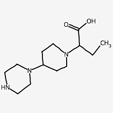 CCC(C(=O)O)N1CCC(N2CCNCC2)CC1